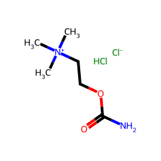 C[N+](C)(C)CCOC(N)=O.Cl.[Cl-]